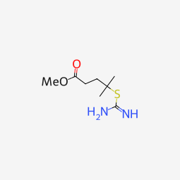 COC(=O)CCC(C)(C)SC(=N)N